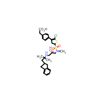 CN(C[C@H](O)CNC(C)(C)CC1Cc2ccccc2C1)S(=O)(=O)C1CC(c2ccc(CC(=O)O)cc2)=C(Cl)S1